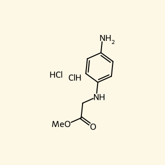 COC(=O)CNc1ccc(N)cc1.Cl.Cl